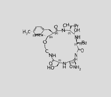 CCCCCC[C@H]1OCCNC(=O)[C@H](CO)NC(=O)[C@H](CN)NC(=O)[C@H]([C@H](C)CC)NC(O)[C@H](CC(C)C)N(C)C(=O)[C@@H]1Cc1ccc(C)cc1